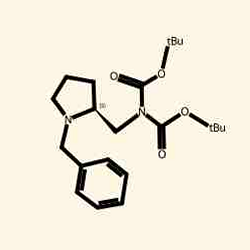 CC(C)(C)OC(=O)N(C[C@@H]1CCCN1Cc1ccccc1)C(=O)OC(C)(C)C